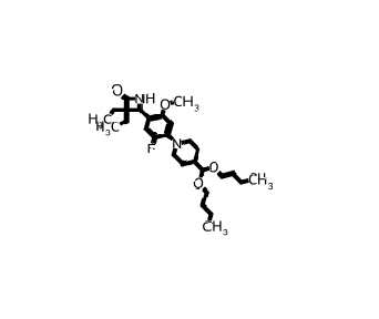 CCCCOC(OCCCC)C1CCN(c2cc(OC)c(C3NC(=O)C3(CC)CC)cc2F)CC1